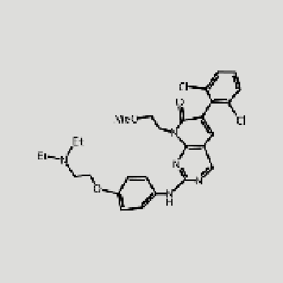 CCN(CC)CCOc1ccc(Nc2ncc3cc(-c4c(Cl)cccc4Cl)c(=O)n(CCOC)c3n2)cc1